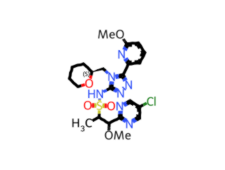 COc1cccc(-c2nnc(NS(=O)(=O)C(C)C(OC)c3ncc(Cl)cn3)n2C[C@@H]2CCCCO2)n1